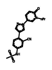 CCCn1cc(-n2cc(-c3ccc(NS(C)(=O)=O)cc3C#N)cn2)ccc1=O